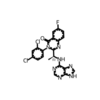 C[C@H](Nc1ncnc2[nH]cnc12)c1nc2ccc(F)cc2c(=O)n1-c1ccc(Cl)cc1Cl